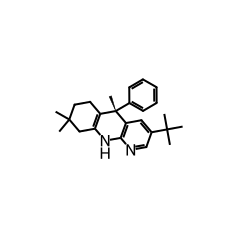 CC1(C)CCC2=C(C1)Nc1ncc(C(C)(C)C)cc1[C@@]2(C)c1ccccc1